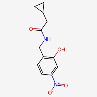 O=C(CC1CC1)NCc1ccc([N+](=O)[O-])cc1O